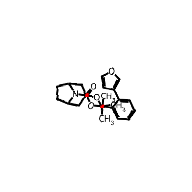 CC(C)(C)OC(=O)N1C2CCC1CC(OCc1ccccc1-c1ccoc1)C2